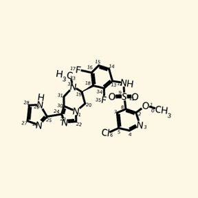 COc1ncc(Cl)cc1S(=O)(=O)Nc1ccc(F)c([C@H]2Cn3cnc(-c4ncc[nH]4)c3CN2C)c1F